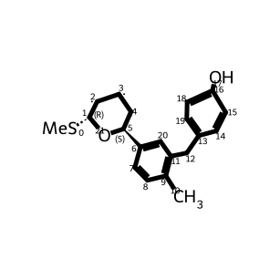 CS[C@@H]1[CH][CH][CH][C@@H](c2ccc(C)c(Cc3ccc(O)cc3)c2)O1